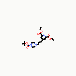 CCOC(=O)c1cc(CCCN2CCN(C(=O)OC(C)(C)C)CC2)cc(C(=O)OCC)n1